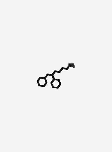 NCCCCC(CC1CCCCC1)C1CCCCC1